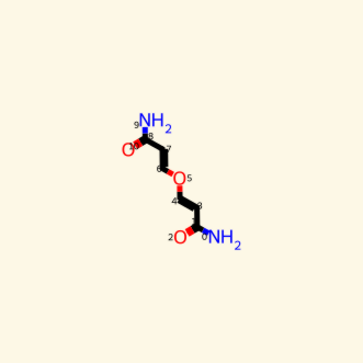 NC(=O)C=COC=CC(N)=O